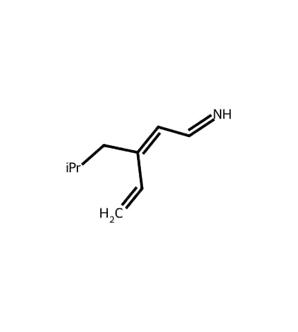 C=C/C(=C\C=N)CC(C)C